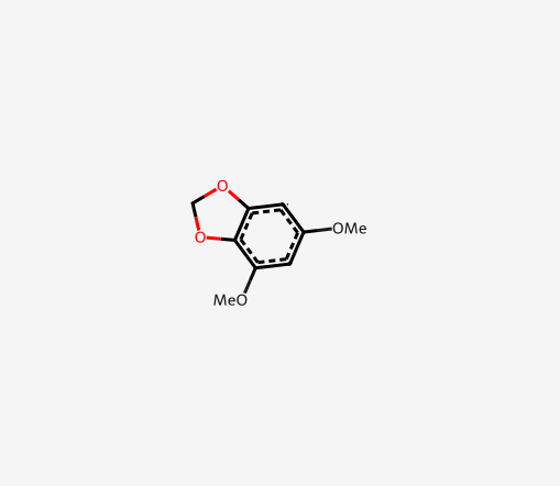 COc1[c]c2c(c(OC)c1)OCO2